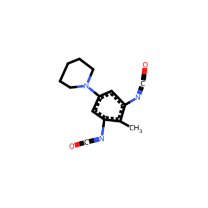 Cc1c(N=C=O)cc(N2CCCCC2)cc1N=C=O